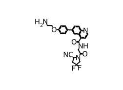 N#C[C@@H]1CC(F)(F)CN1C(=O)CNC(=O)c1ccnc2ccc(-c3ccc(OCCN)cc3)cc12